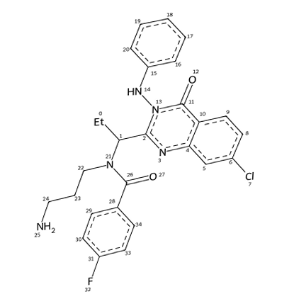 CCC(c1nc2cc(Cl)ccc2c(=O)n1Nc1ccccc1)N(CCCN)C(=O)c1ccc(F)cc1